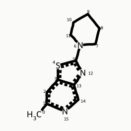 Cc1cc2sc(N3CCCCC3)nc2cn1